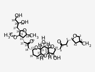 C=C1CO[C@@H](CCC(=O)C[C@H]2O[C@H]3[C@@H](O)[C@H]4O[C@@H](CC(=O)C[C@@H]5[C@@H](OC)[C@@H](C[C@H](O)CO)O[C@H]5C)CC[C@@H]4O[C@H]3[C@H]2O)C1